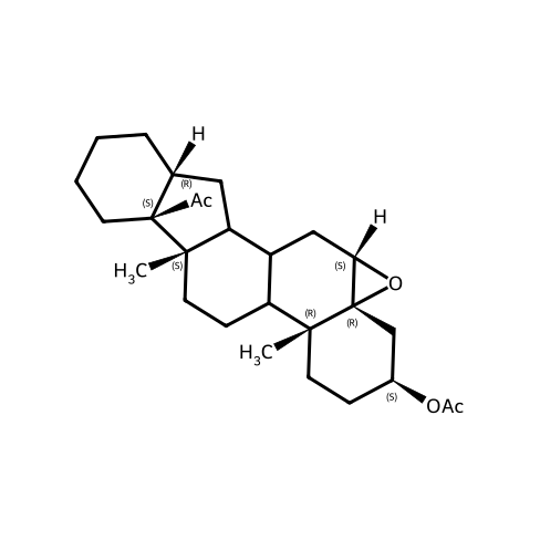 CC(=O)O[C@H]1CC[C@]2(C)C3CC[C@@]4(C)C(C[C@H]5CCCC[C@]54C(C)=O)C3C[C@@H]3O[C@@]32C1